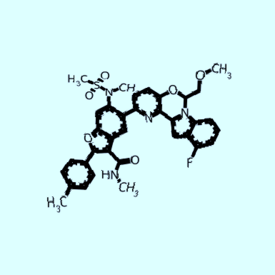 CNC(=O)c1c(-c2ccc(C)cc2)oc2cc(N(C)S(C)(=O)=O)c(-c3ccc4c(n3)-c3cc5c(F)cccc5n3C(COC)O4)cc12